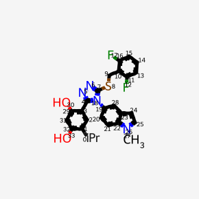 CC(C)c1cc(-c2nnc(SCc3c(F)cccc3F)n2-c2ccc3c(ccn3C)c2)c(O)cc1O